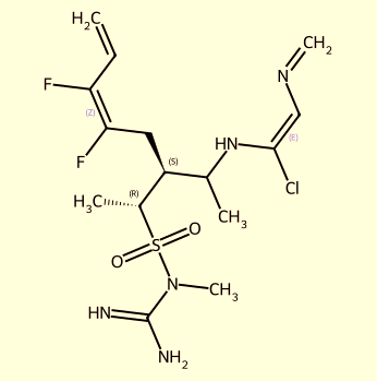 C=C/C(F)=C(/F)C[C@@H](C(C)N/C(Cl)=C\N=C)[C@@H](C)S(=O)(=O)N(C)C(=N)N